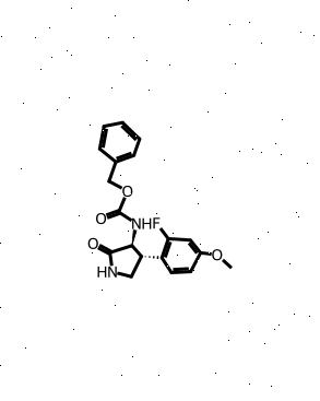 COc1ccc([C@@H]2CNC(=O)[C@H]2NC(=O)OCc2ccccc2)c(F)c1